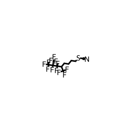 N#CSCCCCC(C(F)(F)F)C(F)(F)C(F)(C(F)(F)F)C(F)(F)F